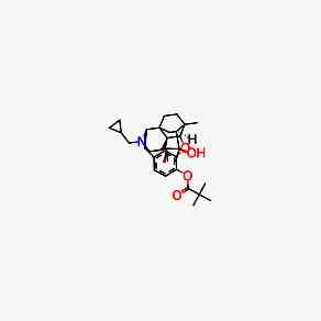 CC(C)(C)C(=O)Oc1ccc2c3c1OC1C4(C)CCC5(C[C@@H]4C(C)(O)C(C)(C)C)C(C2)N(CC2CC2)CC[C@]315